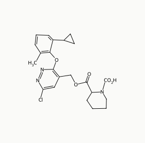 Cc1cccc(C2CC2)c1Oc1nnc(Cl)cc1COC(=O)C1CCCCN1C(=O)O